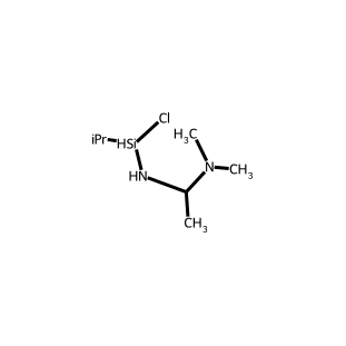 CC(N[SiH](Cl)C(C)C)N(C)C